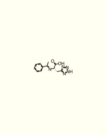 C/C(=N\[C@@H](Cc1nn[nH]n1)C(=O)O)c1ccccc1